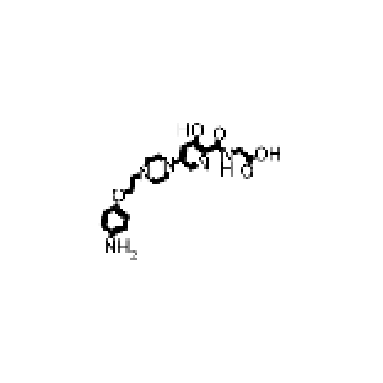 Nc1ccc(OCCN2CCN(c3cnc(C(=O)NCC(=O)O)c(O)c3)CC2)cc1